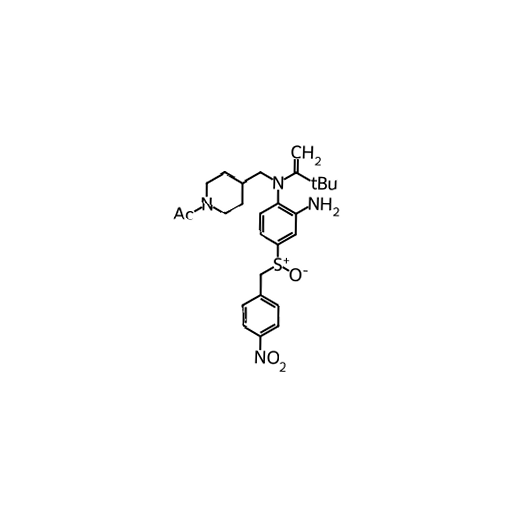 C=C(N(CC1CCN(C(C)=O)CC1)c1ccc([S+]([O-])Cc2ccc([N+](=O)[O-])cc2)cc1N)C(C)(C)C